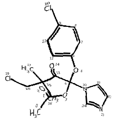 CC(=O)OC(Oc1ccc(Cl)cc1)(C(=O)C(C)(C)CCl)n1ccnc1